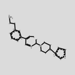 C/C=C(\C=N/C(C)N1CCC(c2ccncc2)CC1)c1cccc(CCN)c1